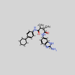 CC(=O)OC(C(=O)Nc1ccc(C2CCCCC2)cc1)[C@@H](OC(C)=O)C(=O)Nc1ccc2nc(N)[nH]c2c1